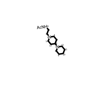 CC(=O)NCCN1CCC(N2CCCCC2)CC1